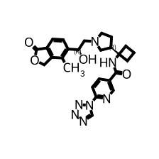 Cc1c([C@@H](O)CN2CC[C@@H](C3(NC(=O)c4ccc(-n5cnnn5)nc4)CCC3)C2)ccc2c1COC2=O